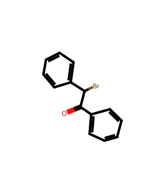 O=C(c1cc[c]cc1)C(Br)c1ccccc1